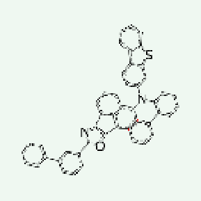 c1ccc(-c2cccc(-c3nc4c(o3)-c3ccc(N(c5ccc6c(c5)sc5ccccc56)c5ccccc5-c5ccccc5)c5cccc-4c35)c2)cc1